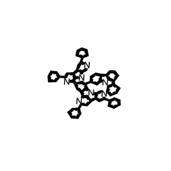 c1ccc(-c2cc3c4cc(-c5ccccc5)nc5c6cc7c8nc(-c9ccccc9)cc9c%10cc(-c%11ccccc%11)ncc%10n(c7c(-c7ccc%10c%11cccc%12c%13ccccc%13n(c%10c7)c%12%11)c6n(c3cn2)c45)c98)cc1